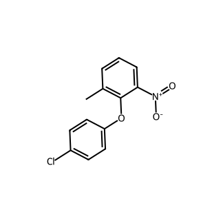 Cc1cccc([N+](=O)[O-])c1Oc1ccc(Cl)cc1